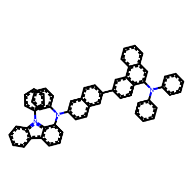 c1ccc(N(c2ccccc2)c2cc3ccccc3c3cc(-c4ccc5cc(N(c6ccccc6)c6cccc7c8ccccc8n(-c8ccccc8)c67)ccc5c4)ccc23)cc1